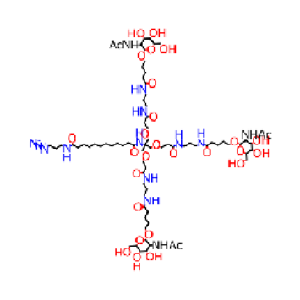 CC(=O)NC1C(OCCCCC(=O)NCCCNC(=O)CCOCC(COCCC(=O)NCCCNC(=O)CCCCOC2OC(CO)C(O)C(O)C2NC(C)=O)(COCCC(=O)NCCCNC(=O)CCCCOC2OC(CO)C(O)C(O)C2NC(C)=O)NC(=O)CCCCCCCCCCC(=O)NCCCN=[N+]=[N-])OC(CO)C(O)C1O